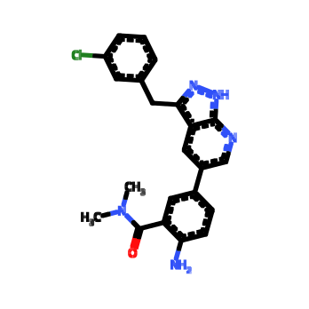 CN(C)C(=O)c1cc(-c2cnc3[nH]nc(Cc4cccc(Cl)c4)c3c2)ccc1N